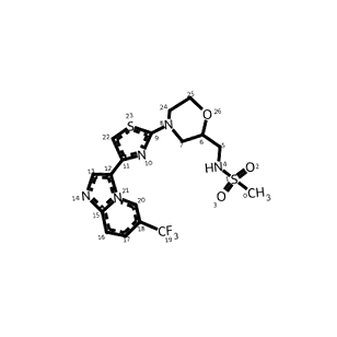 CS(=O)(=O)NCC1CN(c2nc(-c3cnc4ccc(C(F)(F)F)cn34)cs2)CCO1